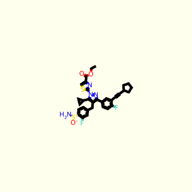 CCOC(=O)c1csc(-n2nc(-c3ccc(F)c(C#CC4CCCC4)c3)c(Cc3ccc([S+](N)[O-])c(F)c3)c2C2CC2)n1